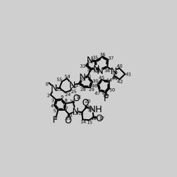 CN(Cc1cc(F)c2c(c1)C(=O)N(C1CCC(=O)NC1=O)C2=O)C1CCN(c2cccc(-c3cnc4ccc(N5CCC[C@@H]5c5cccc(F)c5)nn34)n2)CC1